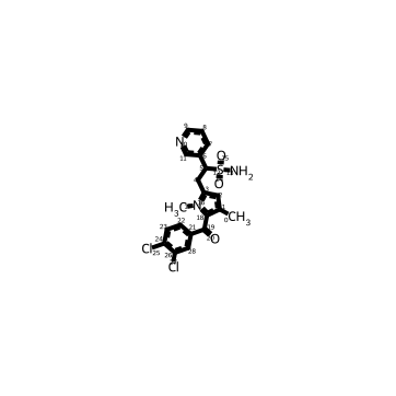 Cc1cc(CC(c2cccnc2)S(N)(=O)=O)n(C)c1C(=O)c1ccc(Cl)c(Cl)c1